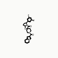 O=C(c1cc2ccccn2c1)N1CCC2(CC1)OC1CCC(c3cc(F)cc(F)c3)N1C2=O